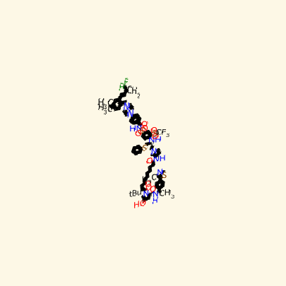 C=C(CCC1=C(CN2CCN(c3ccc(C(=O)NS(=O)(=O)c4ccc(N[C@H](CCN5CC[C@H](NC(=O)CCCCCCC(=O)C[C@H](C(=O)N6C[C@H](O)C[C@H]6C(=O)N[C@@H](C)c6ccc(-c7scnc7C)cc6)C(C)(C)C)C5)CSc5ccccc5)c(S(=O)(=O)C(F)(F)F)c4)cc3)CC2)CCC(C)(C)C1)C(F)F